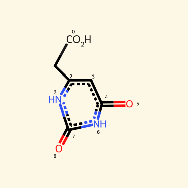 O=C(O)Cc1cc(=O)[nH]c(=O)[nH]1